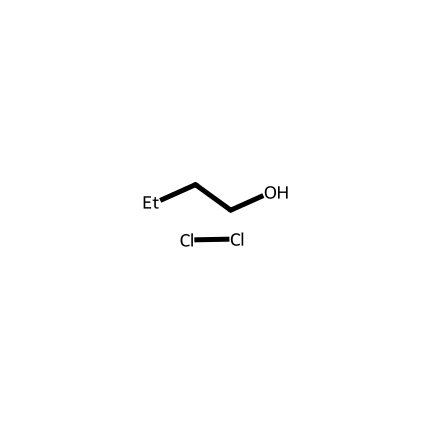 CCCCO.ClCl